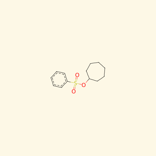 O=S(=O)(OC1CCCCCC1)c1ccccc1